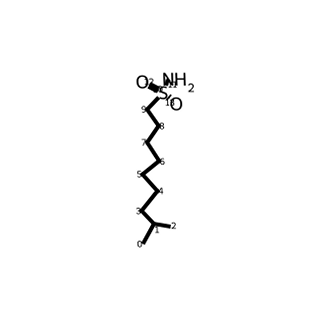 CC(C)CCCCCCCS(N)(=O)=O